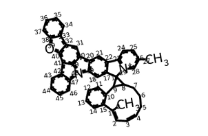 C/C1=C\C=C/CCCC2C(c3ccccc31)C21c2cc3c(cc2-c2ccc(C)c[n+]21)c1cc2c4ccccc4oc2c2c4ccccc4n3c12